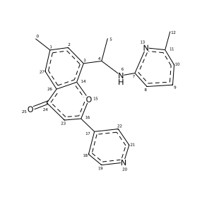 Cc1cc(C(C)Nc2cccc(C)n2)c2oc(-c3ccncc3)cc(=O)c2c1